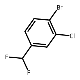 FC(F)c1ccc(Br)c(Cl)c1